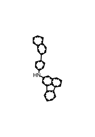 c1ccc2c(c1)-c1cccc3cc(Nc4ccc(-c5ccc6ccccc6c5)cc4)cc-2c13